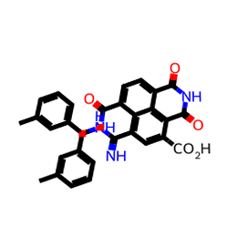 Cc1cccc(CNC(=N)c2cc(C(=O)O)c3c4c(ccc(C(=O)NCc5cccc(C)c5)c24)C(=O)NC3=O)c1